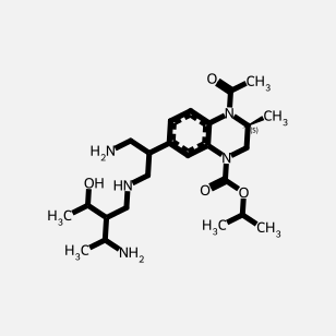 CC(=O)N1c2ccc(C(CN)CNCC(C(C)N)C(C)O)cc2N(C(=O)OC(C)C)C[C@@H]1C